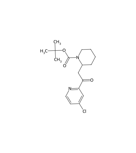 CC(C)(C)OC(=O)N1CCCCC1CC(=O)c1cc(Cl)ccn1